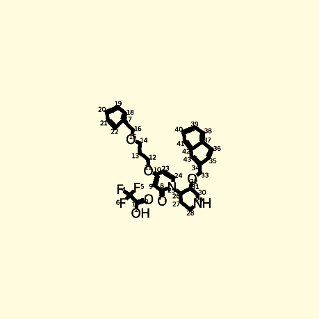 O=C(O)C(F)(F)F.O=c1cc(OCCCOCc2ccccc2)ccn1C1CCNCC1OCc1ccc2ccccc2c1